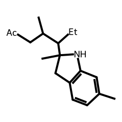 CCC(C(C)CC(C)=O)C1(C)Cc2ccc(C)cc2N1